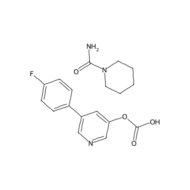 NC(=O)N1CCCCC1.O=C(O)Oc1cncc(-c2ccc(F)cc2)c1